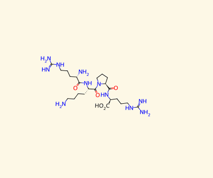 N=C(N)NCCC[C@H](NC(=O)[C@@H]1CCCN1C(=O)[C@H](CCCCN)NC(=O)[C@@H](N)CCCNC(=N)N)C(=O)O